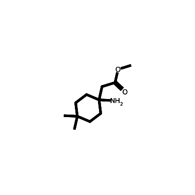 COC(=O)CC1(N)CCC(C)(C)CC1